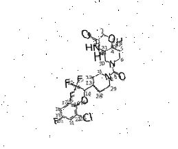 O=C1CO[C@H]2CCN(C(=O)N3CCC(C(Oc4ccc(F)cc4Cl)C(F)(F)F)CC3)C[C@H]2N1